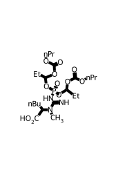 CCCCC(C(=O)O)N(C)C(=N)NP(=O)(OC(CC)OC(=O)OCCC)OC(CC)OC(=O)OCCC